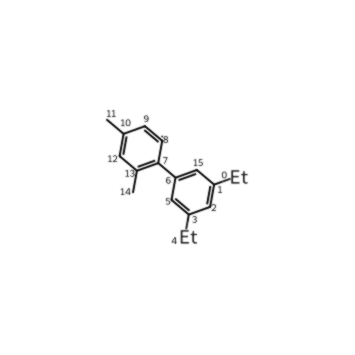 CCc1cc(CC)cc(-c2[c]cc(C)cc2C)c1